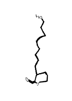 O=C1OCCC1CCCCCCCCO